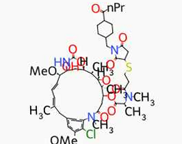 CCCC(=O)C1CCC(CN2C(=O)CC(SCCC(=O)N(C)[C@@H](C)C(=O)O[C@H]3CC(=O)N(C)c4cc(cc(OC)c4Cl)C/C(C)=C/C=C/[C@@H](OC)[C@@]4(O)C[C@H](OC(=O)N4)[C@@H](C)[C@@H]4O[C@@]34C)C2=O)CC1